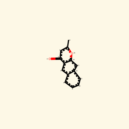 Cc1cc(=O)c2cc3ccccc3cc2o1